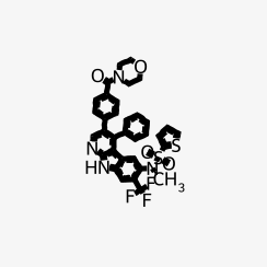 CN(c1cc2c(cc1C(F)(F)F)[nH]c1ncc(-c3ccc(C(=O)N4CCOCC4)cc3)c(-c3ccccc3)c12)S(=O)(=O)c1cccs1